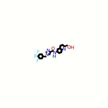 O=C(Nc1ccc2nc(CO)ccc2c1)C1CN(Cc2cc(F)c(F)c(F)c2)C=N1